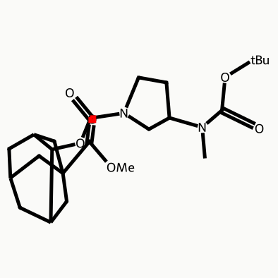 COC(=O)C12CC3CC(C1)C(OC(=O)N1CCC(N(C)C(=O)OC(C)(C)C)C1)C(C3)C2